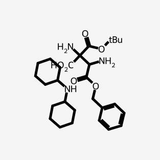 C1CCC(NC2CCCCC2)CC1.CC(C)(C)OC(=O)C(N)(C(=O)O)C(N)C(=O)OCc1ccccc1